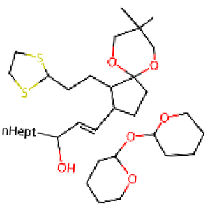 C1CCC(OC2CCCCO2)OC1.CCCCCCCC(O)C=CC1CCC2(OCC(C)(C)CO2)C1CCC1SCCS1